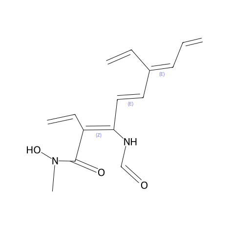 C=C/C=C(C=C)/C=C/C(NC=O)=C(\C=C)C(=O)N(C)O